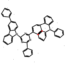 c1ccc(-c2ccc3c(c2)c2ccccc2n3-c2nc(-c3ccccc3)nc(-c3ccc(-c4ccccc4N(c4ccccc4)c4ccccc4)cc3)n2)cc1